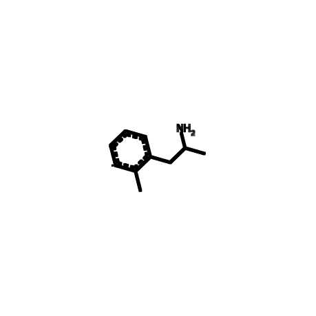 Cc1[c]cccc1CC(C)N